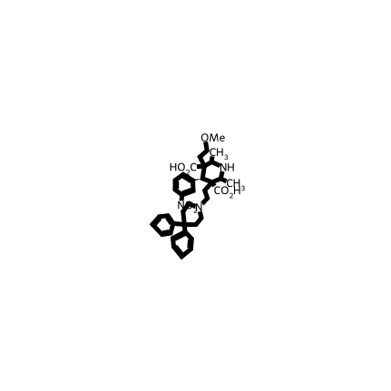 COCCC1(C(=O)O)C(C)NC(C)C(CCN2CCC(c3ccccc3)(c3ccccc3)CC2)(C(=O)O)[C@@H]1c1cccc([N+](=O)[O-])c1